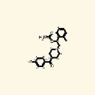 Cc1ccccc1C(CN1CCC(C(=O)c2ccc(F)cc2)CC1)OC(N)=O